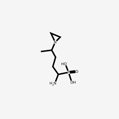 CC(CCC(N)P(=O)(O)O)N1CC1